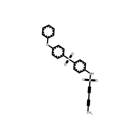 CC#CC#CS(=O)(=O)Nc1ccc(S(=O)(=O)c2ccc(Oc3ccccc3)cc2)cc1